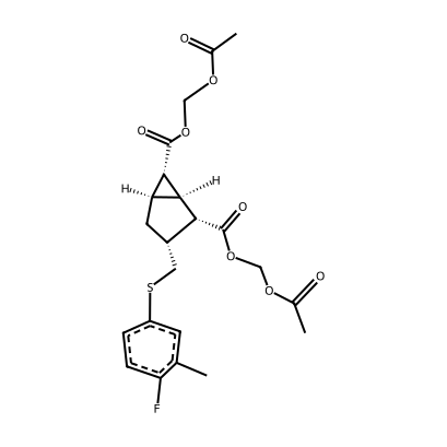 CC(=O)OCOC(=O)[C@@H]1[C@H](CSc2ccc(F)c(C)c2)C[C@H]2[C@H](C(=O)OCOC(C)=O)[C@H]21